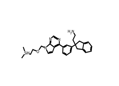 C[SiH](C)CCOCn1ccc2c(-c3cccc(C4(CCN)Cc5ccccc5C4)c3)ncnc21